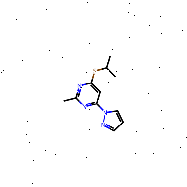 Cc1nc(SC(C)C)cc(-n2cccn2)n1